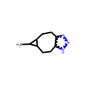 BC1C2CCc3nn[nH]c3CCC12